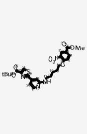 COC(=O)c1ccc(OCCCCCNc2cc(-c3nc(C(=O)OC(C)(C)C)cs3)ccn2)c([N+](=O)[O-])c1